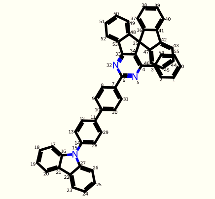 c1ccc(-c2nc(-c3ccc(-c4ccc(-n5c6ccccc6c6ccccc65)cc4)cc3)nc3c2C2(c4ccccc4-c4ccccc42)c2ccccc2-3)cc1